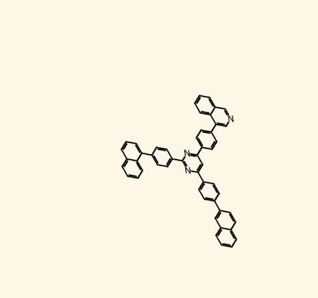 c1ccc2cc(-c3ccc(-c4cc(-c5ccc(-c6cncc7ccccc67)cc5)nc(-c5ccc(-c6cccc7ccccc67)cc5)n4)cc3)ccc2c1